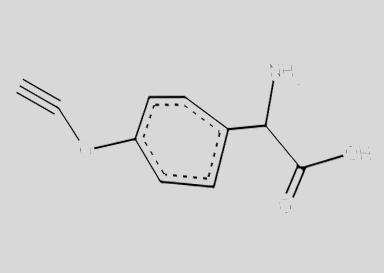 C#COc1ccc(C(N)C(=O)O)cc1